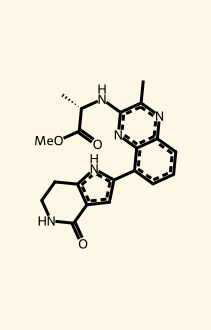 COC(=O)[C@H](C)Nc1nc2c(-c3cc4c([nH]3)CCNC4=O)cccc2nc1C